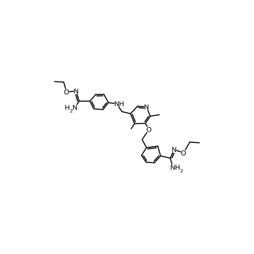 CCON=C(N)c1cccc(COc2c(C)ncc(CNc3ccc(/C(N)=N/OCC)cc3)c2C)c1